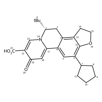 CC(C)(C)[C@@H]1Cc2c(cc(C3CCCC3)c3c2CCO3)-c2cc(=O)c(C(=O)O)cn21